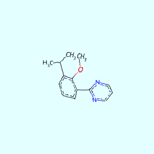 COc1c(-c2ncccn2)cccc1C(C)C